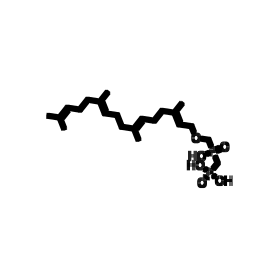 CC(C)=CCCC(C)=CCCC(C)=CCCC(C)=CCOCP(=O)(O)CP(=O)(O)O